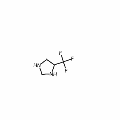 FC(F)(F)C1[CH]NCN1